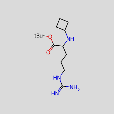 CC(C)(C)OC(=O)C(CCCNC(=N)N)NC1CCC1